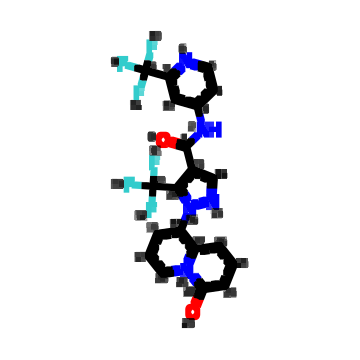 O=C(Nc1ccnc(C(F)(F)F)c1)c1cnn(-c2cccn3c(=O)cccc23)c1C(F)(F)F